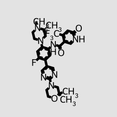 C[C@@H]1CN(c2cc(F)c(-c3cnc(N4CCOC(C)(C)C4)nc3)cc2NC(=O)c2c[nH]c(=O)cc2C(F)(F)F)CCN1C